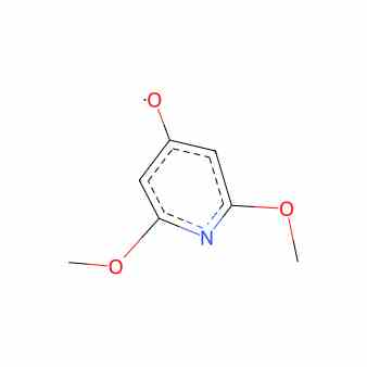 COc1cc([O])cc(OC)n1